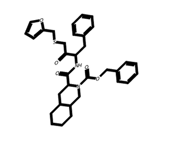 O=C(CSCc1ccco1)C(Cc1ccccc1)NC(=O)C1CC2CCCCC2CN1C(=O)OCc1ccccc1